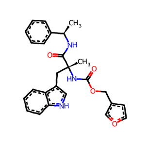 C[C@@H](NC(=O)[C@@](C)(Cc1c[nH]c2ccccc12)NC(=O)OCc1ccoc1)c1ccccc1